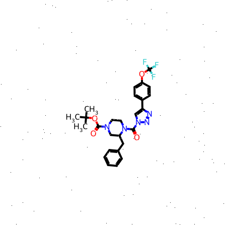 CC(C)(C)OC(=O)N1CCN(C(=O)n2cc(-c3ccc(OC(F)(F)F)cc3)nn2)C(Cc2ccccc2)C1